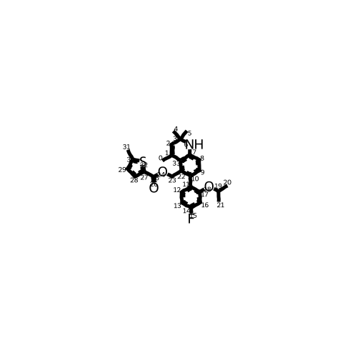 CC1=CC(C)(C)Nc2ccc(-c3ccc(F)cc3OC(C)C)c(COC(=O)c3ccc(C)s3)c21